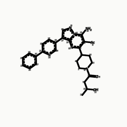 CC(=O)c1c(C2CCN(C(=O)CC(C)O)CC2)nc2c(-c3ccc(-c4ccccc4)nc3)cnn2c1N